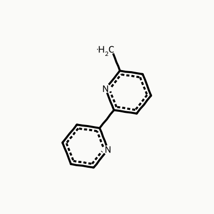 [CH2]c1cccc(-c2ccccn2)n1